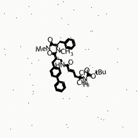 CNC(=O)[C@@H](Cc1ccccc1)N(C)C(=O)[C@@H](CNC(=O)C=CCC(C)(C)NC(=O)OC(C)(C)C)Cc1ccc(-c2ccccc2)cc1